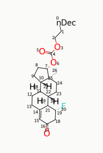 CCCCCCCCCCCCOC(=O)O[C@H]1CC[C@H]2[C@@H]3CCC4=CC(=O)C[C@@H](F)[C@@H]4[C@H]3CC[C@]12C